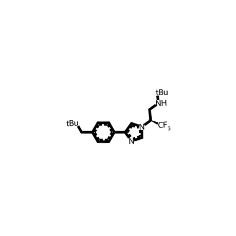 CC(C)(C)Cc1ccc(-c2cn([C@@H](CNC(C)(C)C)C(F)(F)F)cn2)cc1